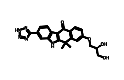 CC1(C)c2cc(OC[C@@H](O)CO)ccc2C(=O)c2c1[nH]c1cc(-c3nn[nH]n3)ccc21